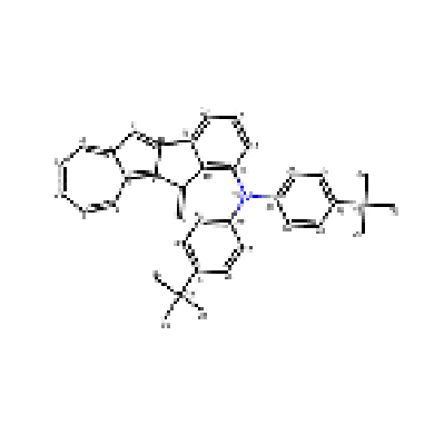 C=C1c2c3cccccc-3cc2-c2cccc(N(c3ccc(C(C)(C)C)cc3)c3ccc(C(C)(C)C)cc3)c21